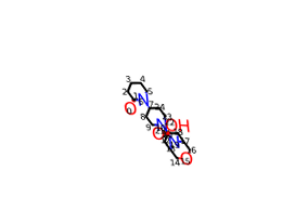 O=C1CCCCN1C1CCN(C2CC3COCC(C2)N3C(=O)O)CC1